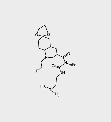 CCCN(C(=O)NCCN(C)C)C(=O)C1CC2CC3(CCC2N(CCF)C1)OCCO3